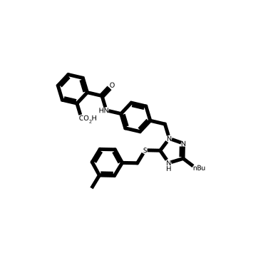 CCCCC1=NN(Cc2ccc(NC(=O)c3ccccc3C(=O)O)cc2)C(SCc2cccc(C)c2)N1